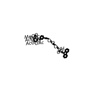 COC(=O)[C@H]1O[C@@H](Oc2cc(C#CCOCCOCCOCCNC(=O)OCC3c4ccccc4-c4ccccc43)ccc2C=O)[C@H](OC(C)=O)[C@@H](OC(C)=O)[C@@H]1OC(C)=O